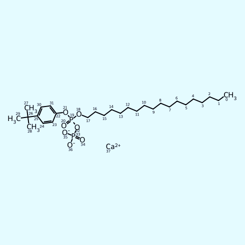 CCCCCCCCCCCCCCCCCCOP(=O)(Oc1ccc(C(C)(C)C)cc1)OP(=O)([O-])[O-].[Ca+2]